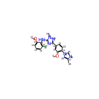 COc1cc(-c2nc(Nc3c(F)cccc3OC)n(C)n2)ccc1-n1cnc(C)c1